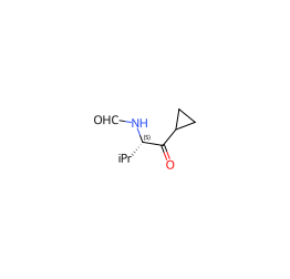 CC(C)[C@H](NC=O)C(=O)C1CC1